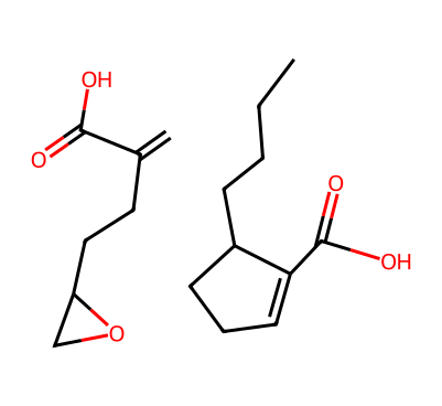 C=C(CCC1CO1)C(=O)O.CCCCC1CCC=C1C(=O)O